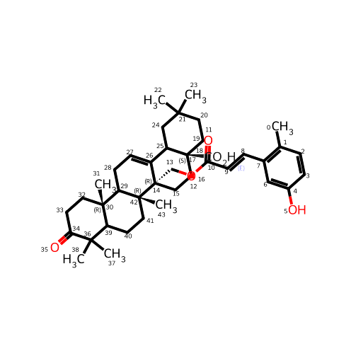 Cc1ccc(O)cc1/C=C/C(=O)OC[C@@]12CC[C@@]3(C(=O)O)CCC(C)(C)CC3C1=CCC1[C@@]3(C)CCC(=O)C(C)(C)C3CC[C@]12C